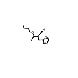 CCCCOC(=O)/C(C#N)=C/c1ccco1